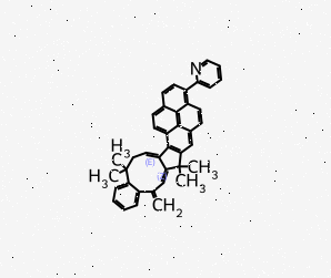 C=C1/C=C2\C(=C/CC(C)(C)c3ccccc31)c1c(cc3ccc4c(-c5ccccn5)ccc5ccc1c3c54)C2(C)C